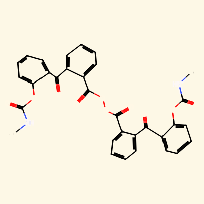 CCCNC(=O)Oc1ccccc1C(=O)c1ccccc1C(=O)OOC(=O)c1ccccc1C(=O)c1ccccc1OC(=O)NCCC